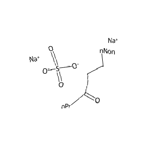 CCCCCCCCCCCC(=O)CCC.O=S(=O)([O-])[O-].[Na+].[Na+]